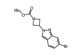 CC(C)(C)OC(=O)N1CC(n2cc3ccc(Br)cc3n2)C1